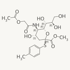 COC(=O)[C@]1(Sc2ccc(C)cc2)C[C@H](O)[C@@H](NC(=O)COC(C)=O)[C@H]([C@H](O)[C@H](O)CO)O1